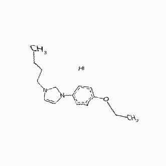 CCCCN1C=CN(c2ccc(OCC)cc2)C1.I